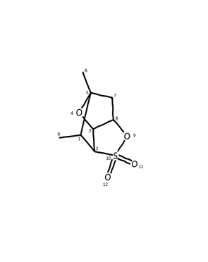 CC1C2C3OC1(C)CC3OS2(=O)=O